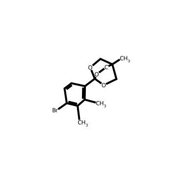 Cc1c(Br)ccc(C23OCC(C)(CO2)CO3)c1C